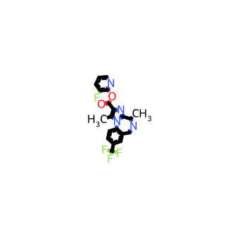 Cc1c(C(=O)Oc2ncccc2F)nc2n1-c1ccc(C(F)(F)F)cc1C=NC2C